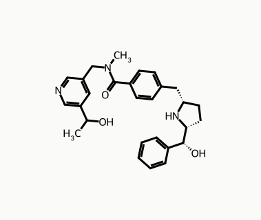 CC(O)c1cncc(CN(C)C(=O)c2ccc(C[C@@H]3CC[C@H]([C@H](O)c4ccccc4)N3)cc2)c1